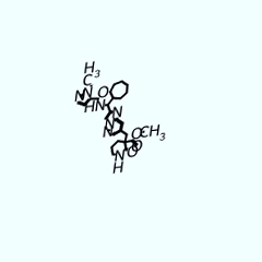 CCn1nccc1C(=O)NC(c1cn2ncc(CC3(C(=O)OC)CCCNC3=O)cc2n1)C1CCCCCC1